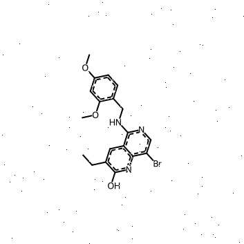 CCc1cc2c(NCc3ccc(OC)cc3OC)ncc(Br)c2nc1O